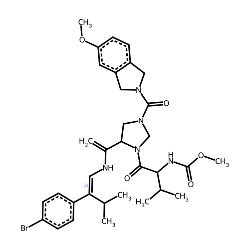 C=C(N/C=C(/c1ccc(Br)cc1)C(C)C)C1CN(C(=O)N2Cc3ccc(OC)cc3C2)CN1C(=O)C(NC(=O)OC)C(C)C